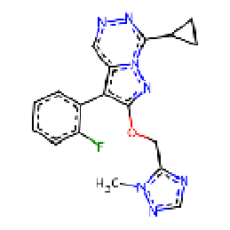 Cn1ncnc1COc1nn2c(C3CC3)nncc2c1-c1ccccc1F